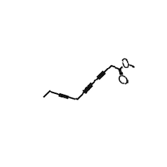 CCC#CCC#CC#CCC(=O)OC